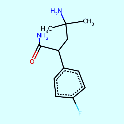 CC(C)(N)CC(C(N)=O)c1ccc(F)cc1